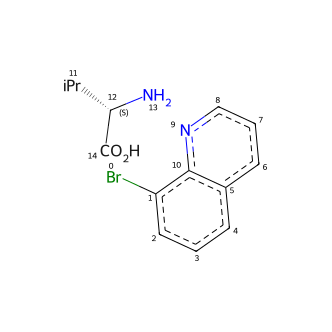 Brc1cccc2cccnc12.CC(C)[C@H](N)C(=O)O